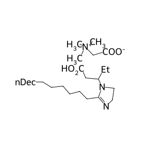 CCCCCCCCCCCCCCCCC1=NCCN1C(CC)CC(=O)O.C[N+](C)(C)CC(=O)[O-]